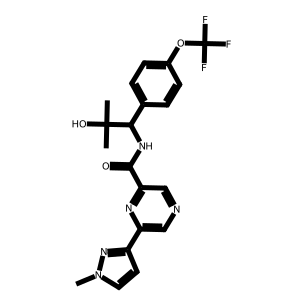 Cn1ccc(-c2cncc(C(=O)NC(c3ccc(OC(F)(F)F)cc3)C(C)(C)O)n2)n1